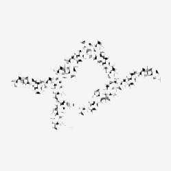 O=P([O][Mo](=[O])(=[O])[O][Mo](=[O])(=[O])[O][Mo](=[O])(=[O])[O][Mo](=[O])(=[O])[OH])([O][Mo](=[O])(=[O])[O][Mo](=[O])(=[O])[O][Mo](=[O])(=[O])[O][Mo](=[O])(=[O])[OH])[O][Mo](=[O])(=[O])[O][Mo](=[O])(=[O])[O][Mo](=[O])(=[O])[O][Mo](=[O])(=[O])[O]S(=O)(=O)[O][Mo](=[O])(=[O])[O][Mo](=[O])(=[O])[O][Mo](=[O])(=[O])[O][Mo](=[O])(=[O])[O]P(=O)([O][Mo](=[O])(=[O])[O][Mo](=[O])(=[O])[O][Mo](=[O])(=[O])[O][Mo](=[O])(=[O])[OH])[O][Mo](=[O])(=[O])[O][Mo](=[O])(=[O])[O][Mo](=[O])(=[O])[O][Mo](=[O])(=[O])[OH]